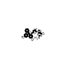 COc1ccc(C(OCC2C[C@@](C)(F)C(n3cnc4c(OC)nc(N)nc43)O2)(c2ccccc2)c2ccc(OC)cc2)cc1